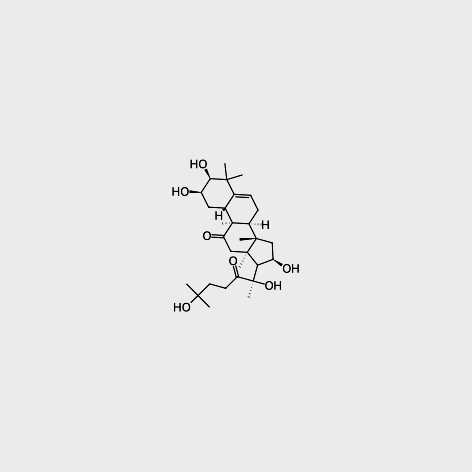 CC(C)(O)CCC(=O)[C@](C)(O)C1[C@H](O)C[C@@]2(C)[C@@H]3CC=C4[C@@H](C[C@@H](O)[C@@H](O)C4(C)C)[C@]3(C)C(=O)C[C@]12C